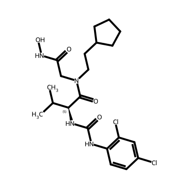 CC(C)[C@H](NC(=O)Nc1ccc(Cl)cc1Cl)C(=O)N(CCC1CCCC1)CC(=O)NO